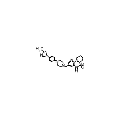 CC1N=CC(c2ccc(N3CCN(Cc4cnc5c(c4)NC(=O)[C@@H]4CCCCN54)CC3)cc2)=N1